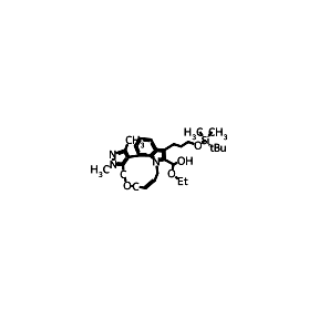 CCOC(O)c1c(CCCO[Si](C)(C)C(C)(C)C)c2cccc3c2n1C/C=C\COCc1c-3c(C)nn1C